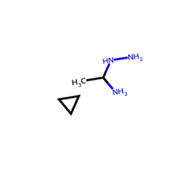 C1CC1.CC(N)NN